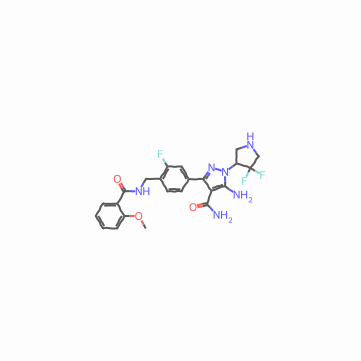 COc1ccccc1C(=O)NCc1ccc(-c2nn(C3CNCC3(F)F)c(N)c2C(N)=O)cc1F